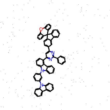 c1ccc(-c2nc(-c3ccc4c(c3)-c3ccccc3C43c4ccccc4Oc4ccccc43)cc(-c3cccc4c3c3ccccc3n4-c3cccc(-n4c5ccccc5c5ccccc54)c3)n2)cc1